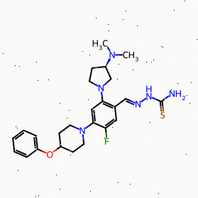 CN(C)[C@@H]1CCN(c2cc(N3CCC(Oc4ccccc4)CC3)c(F)cc2/C=N/NC(N)=S)C1